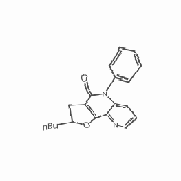 CCCCC1Cc2c(c3ncccc3n(-c3ccccc3)c2=O)O1